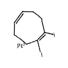 IC1=C(I)CCC=CCC1.[Pt+2]